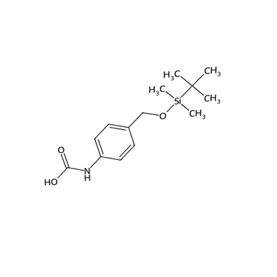 CC(C)(C)[Si](C)(C)OCc1ccc(NC(=O)O)cc1